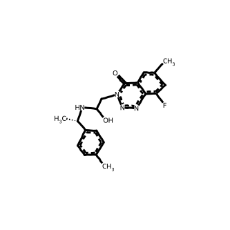 Cc1ccc([C@H](C)NC(O)Cn2nnc3c(F)cc(C)cc3c2=O)cc1